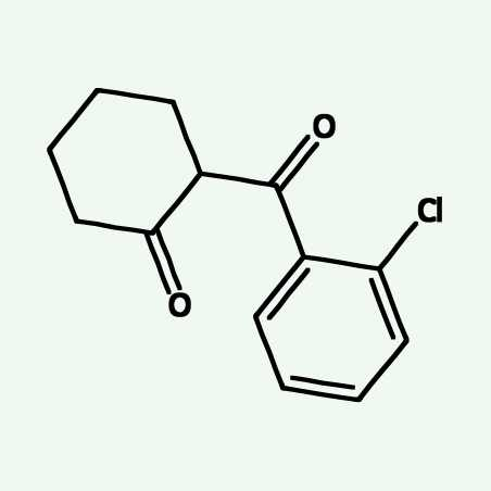 O=C1CCCCC1C(=O)c1ccccc1Cl